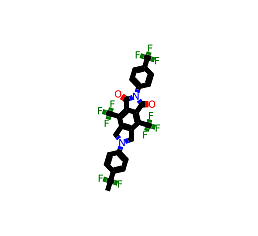 CC(F)(F)c1ccc(N2Cc3c(c(C(F)(F)F)c4c(c3C(F)(F)F)C(=O)N(c3ccc(C(F)(F)F)cc3)C4=O)C2)cc1